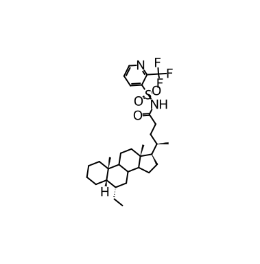 CC[C@H]1CC2C3CC[C@H]([C@H](C)CCC(=O)NS(=O)(=O)c4cccnc4C(F)(F)F)[C@@]3(C)CCC2[C@@]2(C)CCCC[C@@H]12